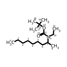 CCCCCCCC(C)N(CC)C(=O)OC(C)(C)C